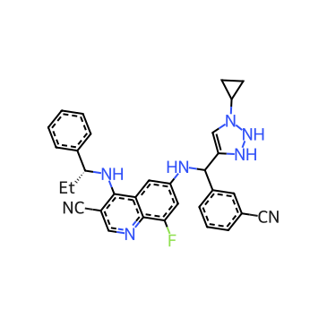 CC[C@@H](Nc1c(C#N)cnc2c(F)cc(NC(C3=CN(C4CC4)NN3)c3cccc(C#N)c3)cc12)c1ccccc1